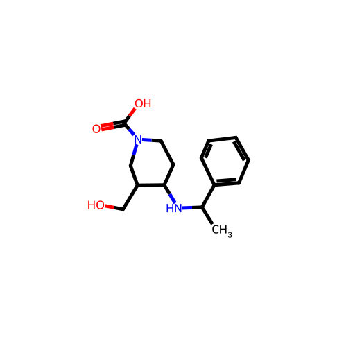 CC(NC1CCN(C(=O)O)CC1CO)c1ccccc1